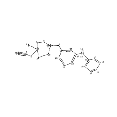 N#CCC1(I)CCN(Cc2cccc(Nc3ccccc3)c2)CC1